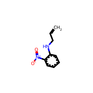 C=CCNc1ccccc1[N+](=O)[O-]